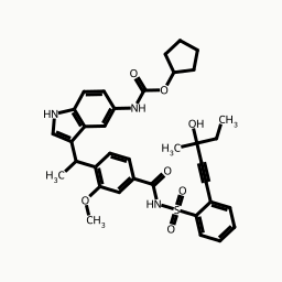 CCC(C)(O)C#Cc1ccccc1S(=O)(=O)NC(=O)c1ccc(C(C)c2c[nH]c3ccc(NC(=O)OC4CCCC4)cc23)c(OC)c1